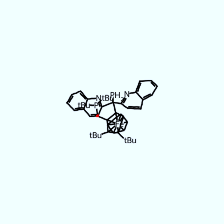 CC(C)(C)P(C[C]12[C]3(C(P)(c4ccc5ccccc5n4)c4ccc5ccccc5n4)[CH]4[C]5(C(C)(C)C)[C]1(C(C)(C)C)[Fe]42351678[CH]2[CH]1[CH]6[CH]7[CH]28)C(C)(C)C